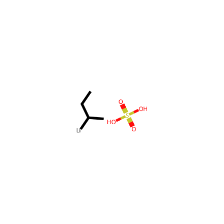 O=S(=O)(O)O.[Li][CH](C)CC